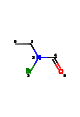 CCN(Br)[C]=O